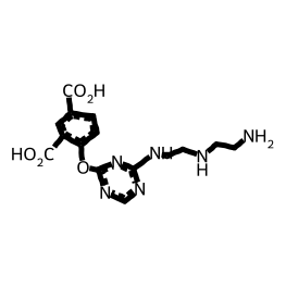 NCCNCCNc1ncnc(Oc2ccc(C(=O)O)cc2C(=O)O)n1